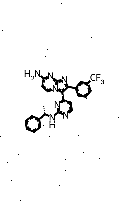 C[C@H](Nc1nccc(-c2c(-c3cccc(C(F)(F)F)c3)nc3nc(N)ccn23)n1)c1ccccc1